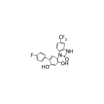 O=c1[nH]c2cc(C(F)(F)F)ccc2n1-c1cc(-c2ccc(F)cc2)c(O)cc1O